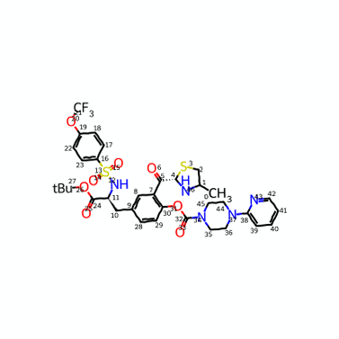 CC1CS[C@@H](C(=O)c2cc(C[C@H](NS(=O)(=O)c3ccc(OC(F)(F)F)cc3)C(=O)OC(C)(C)C)ccc2OC(=O)N2CCN(c3ccccn3)CC2)N1